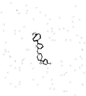 OC1(c2ccc(F)cc2)CCN(Cc2cccc(-c3ccc(F)cc3)n2)CC1